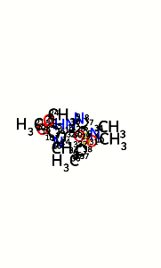 CCN(CC)C(c1ccnc2[nH]c(-c3cn(C)c4cc(OC)c(OC)cc34)cc12)S(=O)(=O)c1ccc(C)cc1